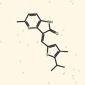 Cc1ccc2c(n1)C(=Cc1cc(C)c(C(C)C)s1)C(=O)N2